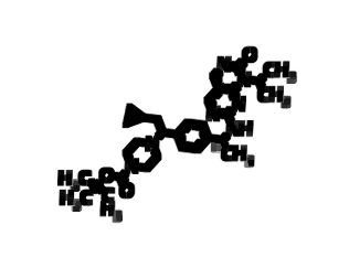 CC(C)n1c(=O)ncc2cnc(N[C@@H](C)c3ccc(C(CC4CC4)N4CCN(C(=O)OC(C)(C)C)CC4)cc3)nc21